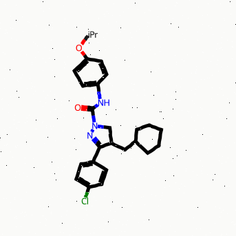 CC(C)Oc1ccc(NC(=O)N2CC(CC3CCCCC3)C(c3ccc(Cl)cc3)=N2)cc1